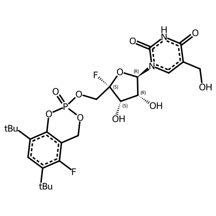 CC(C)(C)c1cc(C(C)(C)C)c2c(c1F)COP(=O)(OC[C@@]1(F)O[C@@H](n3cc(CO)c(=O)[nH]c3=O)[C@H](O)[C@@H]1O)O2